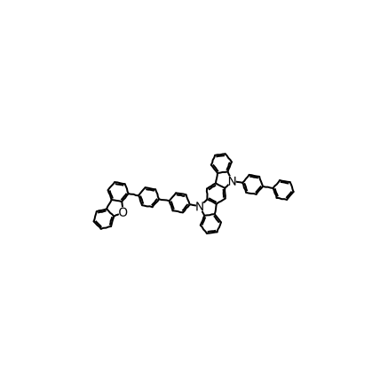 c1ccc(-c2ccc(-n3c4ccccc4c4cc5c(cc43)c3ccccc3n5-c3ccc(-c4ccc(-c5cccc6c5oc5ccccc56)cc4)cc3)cc2)cc1